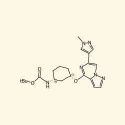 Cn1cc(-c2cn3nccc3c(O[C@H]3CCC[C@@H](NC(=O)OC(C)(C)C)C3)n2)cn1